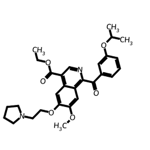 CCOC(=O)c1cnc(C(=O)c2cccc(OC(C)C)c2)c2cc(OC)c(OCCN3CCCC3)cc12